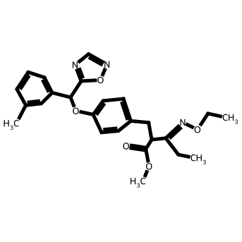 CCON=C(CC)C(Cc1ccc(OC(c2cccc(C)c2)c2ncno2)cc1)C(=O)OC